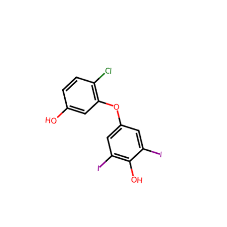 Oc1ccc(Cl)c(Oc2cc(I)c(O)c(I)c2)c1